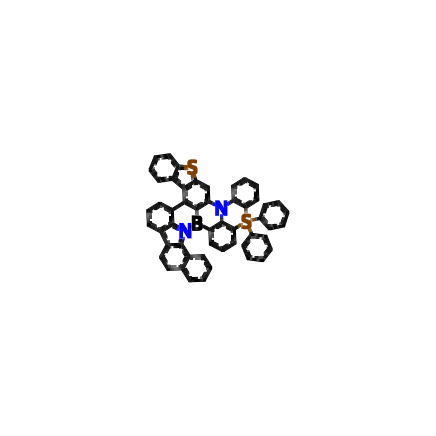 c1ccc(S2(c3ccccc3)c3ccccc3N3c4cc5sc6ccccc6c5c5c4B(c4cccc2c43)n2c3c-5cccc3c3ccc4ccccc4c32)cc1